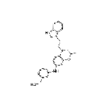 CC1CN(CCc2c[nH]c3ccccc23)c2ccc(Nc3ccnc(CO)c3)cc2O1